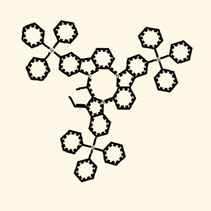 C/C=c1/c2cc([Si](c3ccccc3)(c3ccccc3)c3ccccc3)ccc2n2c1c(C)n1c3ccc([Si](c4ccccc4)(c4ccccc4)c4ccccc4)cc3c3cccc(c31)n1c3ccc([Si](c4ccccc4)(c4ccccc4)c4ccccc4)cc3c3cccc2c31